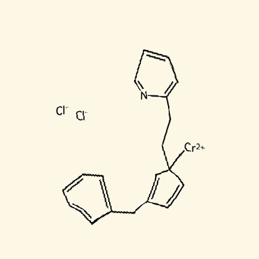 [Cl-].[Cl-].[Cr+2][C]1(CCc2ccccn2)C=CC(Cc2ccccc2)=C1